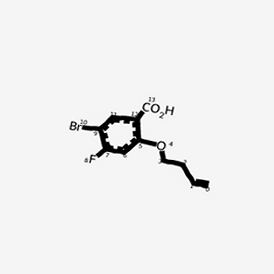 C=CCCOc1cc(F)c(Br)cc1C(=O)O